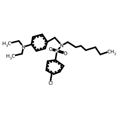 CCCCCCCN(Cc1ccc(N(CC)CC)cc1)S(=O)(=O)c1ccc(Cl)cc1